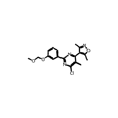 COCOc1cccc(-c2nc(Cl)c(C)c(-c3c(C)noc3C)n2)c1